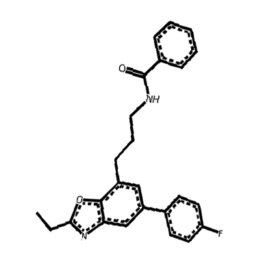 CCc1nc2cc(-c3ccc(F)cc3)cc(CCCNC(=O)c3ccccc3)c2o1